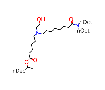 CCCCCCCCCCC(C)OC(=O)CCCCCN(CCO)CCCCCCCC(=O)N(CCCCCCCC)CCCCCCCC